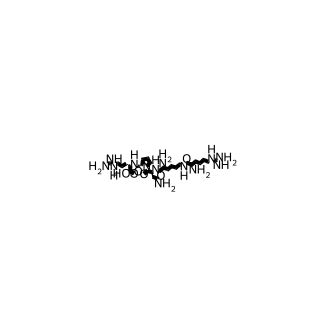 N=C(N)NCCCC[C@H](N)C(=O)NCCCC[C@H](N)C(=O)N[C@@H](CCN)C(=O)N1CCC[C@H]1C(=O)N[C@@H](CCCNC(=N)N)C(=O)O